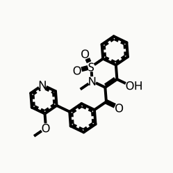 COc1ccncc1-c1cccc(C(=O)C2=C(O)c3ccccc3S(=O)(=O)N2C)c1